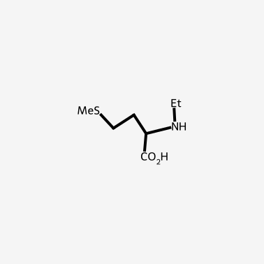 CCNC(CCSC)C(=O)O